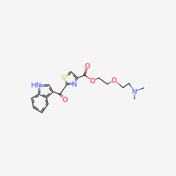 CN(C)CCOCCOC(=O)c1csc(C(=O)c2c[nH]c3ccccc23)n1